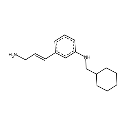 NC/C=C/c1cccc(NCC2CCCCC2)c1